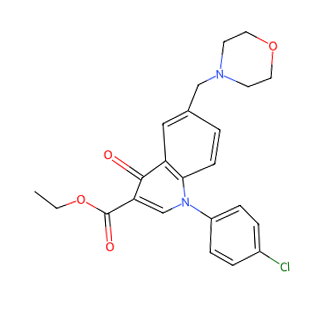 CCOC(=O)c1cn(-c2ccc(Cl)cc2)c2ccc(CN3CCOCC3)cc2c1=O